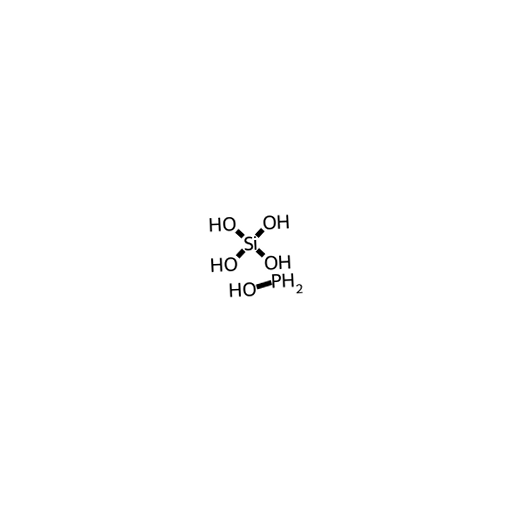 OP.O[Si](O)(O)O